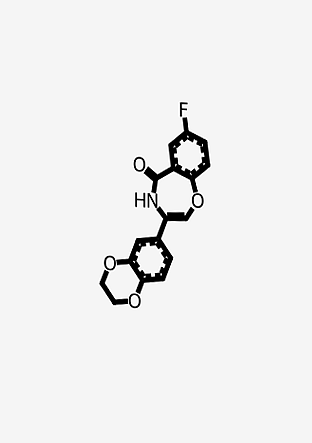 O=C1NC(c2ccc3c(c2)OCCO3)=COc2ccc(F)cc21